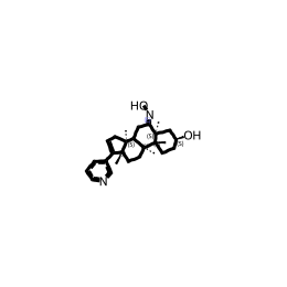 C[C@]12CC[C@H](O)C[C@]1(C)/C(=N/O)CC1[C@]2(C)CC[C@]2(C)C(c3cccnc3)=CC[C@@]12C